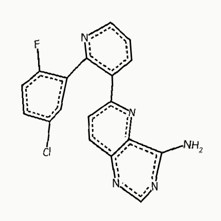 Nc1ncnc2ccc(-c3cccnc3-c3cc(Cl)ccc3F)nc12